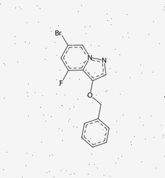 Fc1cc(Br)cn2ncc(OCc3ccccc3)c12